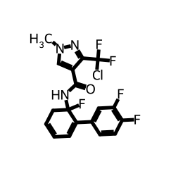 Cn1cc(C(=O)NC2(F)CC=CC=C2c2ccc(F)c(F)c2)c(C(F)(F)Cl)n1